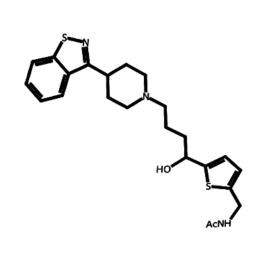 CC(=O)NCc1ccc(C(O)CCCN2CCC(c3nsc4ccccc34)CC2)s1